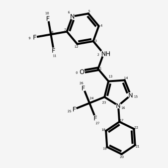 O=C(Nc1ccnc(C(F)(F)F)c1)c1cnn(-c2ccccc2)c1C(F)(F)F